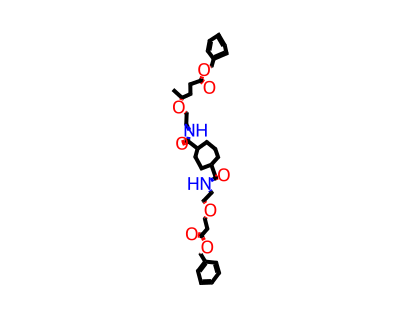 CC(CCC(=O)OCc1ccccc1)OCCNC(=O)C1CCCC(C(=O)NCCOCCC(=O)OCc2ccccc2)CC1